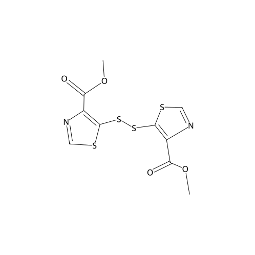 COC(=O)c1ncsc1SSc1scnc1C(=O)OC